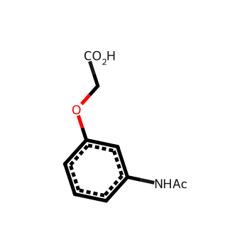 CC(=O)Nc1cccc(OCC(=O)O)c1